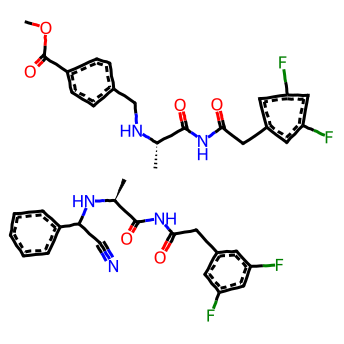 COC(=O)c1ccc(CN[C@@H](C)C(=O)NC(=O)Cc2cc(F)cc(F)c2)cc1.C[C@H](NC(C#N)c1ccccc1)C(=O)NC(=O)Cc1cc(F)cc(F)c1